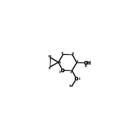 COC1OC2(CCC1O)CC2